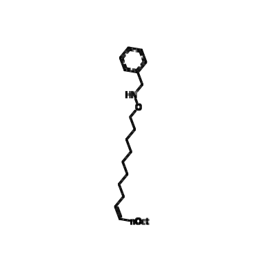 CCCCCCCC/C=C\CCCCCCCCONCc1ccccc1